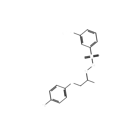 CCC(CSc1ccc(N)cc1)NNS(=O)(=O)c1cccc(C(=O)O)c1